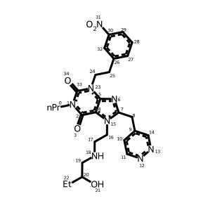 CCCn1c(=O)c2c(nc(Cc3ccnnc3)n2CCNCC(O)CC)n(CCc2cccc([N+](=O)[O-])c2)c1=O